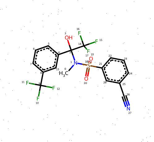 CN(C(O)(c1cccc(C(F)(F)F)c1)C(F)(F)F)S(=O)(=O)c1cccc(C#N)c1